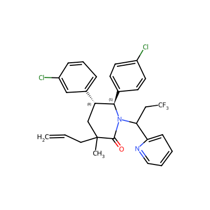 C=CCC1(C)C[C@H](c2cccc(Cl)c2)[C@@H](c2ccc(Cl)cc2)N(C(CC(F)(F)F)c2ccccn2)C1=O